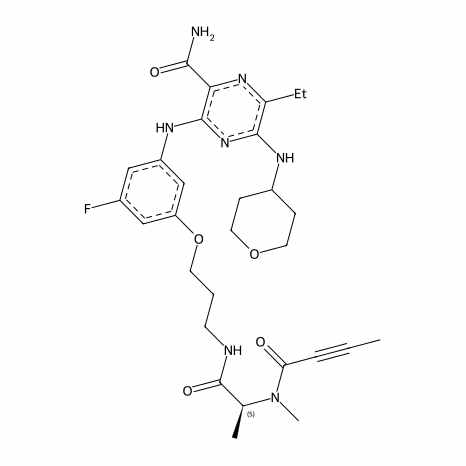 CC#CC(=O)N(C)[C@@H](C)C(=O)NCCCOc1cc(F)cc(Nc2nc(NC3CCOCC3)c(CC)nc2C(N)=O)c1